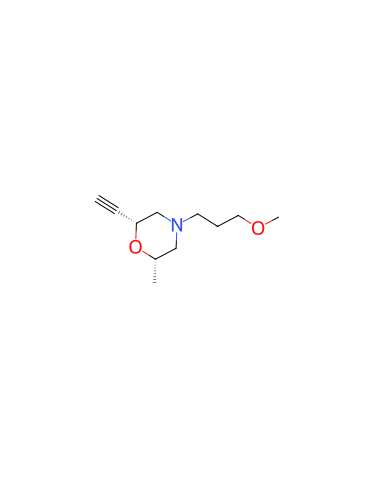 C#C[C@@H]1CN(CCCOC)C[C@H](C)O1